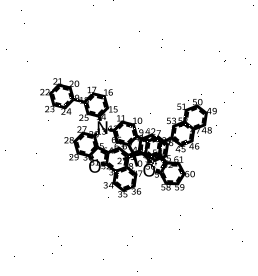 CC1(C)c2ccccc2-c2ccc(N(c3cccc(-c4ccccc4)c3)c3cccc4oc5c6ccccc6c(-c6ccc(-c7ccc8ccccc8c7)c7c6oc6ccccc67)cc5c34)cc21